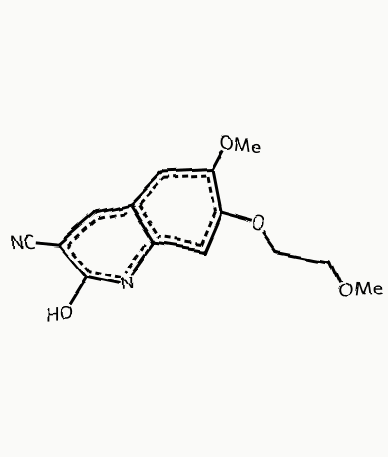 COCCOc1cc2nc(O)c(C#N)cc2cc1OC